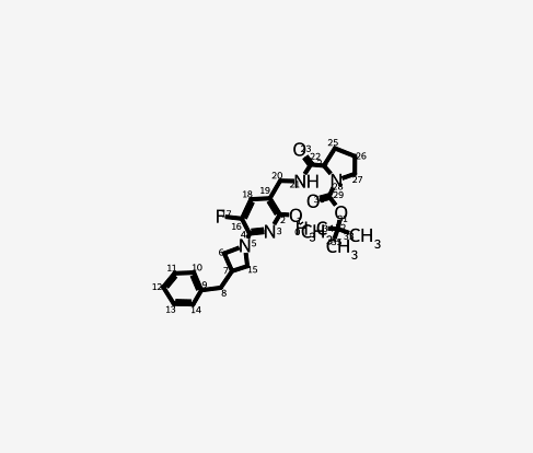 COc1nc(N2CC(Cc3ccccc3)C2)c(F)cc1CNC(=O)C1CCCN1C(=O)OC(C)(C)C